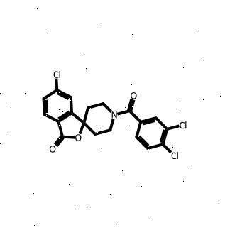 O=C1OC2(CCN(C(=O)c3ccc(Cl)c(Cl)c3)CC2)c2cc(Cl)ccc21